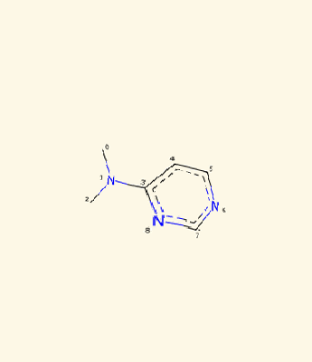 CN(C)c1ccn[c]n1